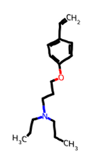 C=Cc1ccc(OCCCN(CCC)CCC)cc1